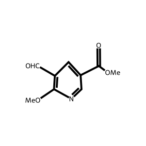 COC(=O)c1cnc(OC)c(C=O)c1